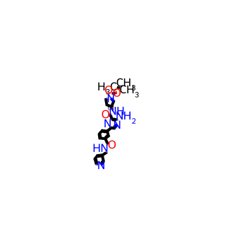 CC(C)(C)OC(=O)N1CC[C@H](NC(=O)c2nc(-c3cccc(C(=O)NCc4cccnc4)c3)cnc2N)C1